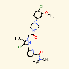 COc1cc(N2CCN(C(=O)Cn3nc(-c4cccc(C(=O)N(C)C)n4)c(Cl)c3C)CC2)ccc1Cl